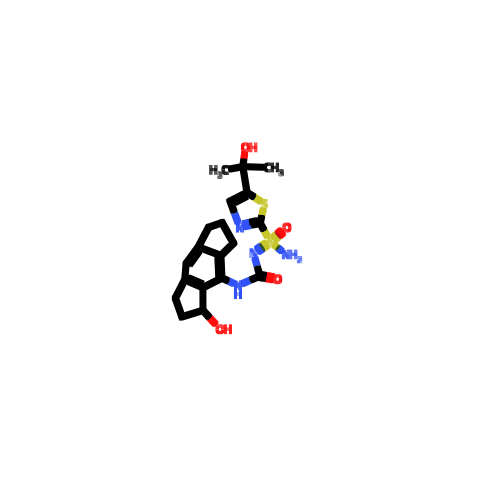 CC(C)(O)c1cnc(S(N)(=O)=NC(=O)Nc2c3c(cc4c2C(O)CC4)CCC3)s1